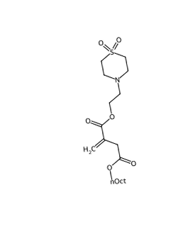 C=C(CC(=O)OCCCCCCCC)C(=O)OCCN1CCS(=O)(=O)CC1